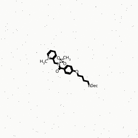 CCCCCCCCCCCCCCOc1ccc(C(=O)N(CC2=CCC=CN2C)S(C)(=O)=O)cc1